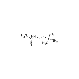 CC(C)(N)CCNC(N)=O